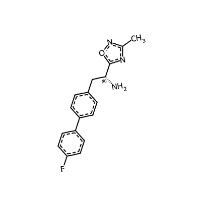 Cc1noc([C@H](N)Cc2ccc(-c3ccc(F)cc3)cc2)n1